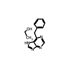 CCO.c1ccc(Cc2ncnc3nc[nH]c23)cc1